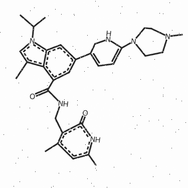 Cc1cc(C)c(CNC(=O)c2cc(C3=CC=C(N4CCN(C)CC4)NC3)cc3c2c(C)cn3C(C)C)c(=O)[nH]1